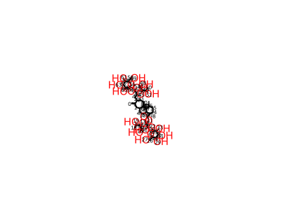 C=C1CC2CCC3[C@](C)(C(=O)OC(OC(CO)C(C)O)C(O)OC4OC(CO)C(O)C(O)C4O)CCC[C@@]3(C)[C@@H]2CCC1CC(OC(CO)C(C)O)C(O)OC1OC(CO)C(O)C(O)C1O